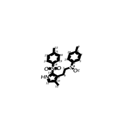 Cc1ccc([S+]([O-])CCc2c(C)c[nH]c2S(=O)(=O)c2ccc(C)cc2)cc1